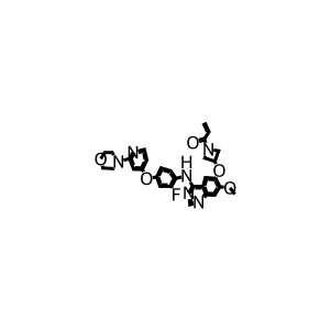 C=CC(=O)N1CC(Oc2cc3c(Nc4ccc(Oc5ccnc(N6CCOCC6)c5)cc4F)ncnc3cc2OC)C1